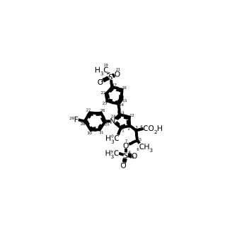 Cc1c(C(C(=O)O)C(C)OS(C)(=O)=O)cc(-c2ccc(S(C)(=O)=O)cc2)n1-c1ccc(F)cc1